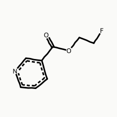 O=C(OCCF)c1cccnc1